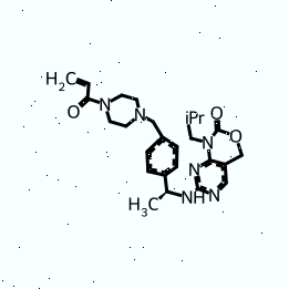 C=CC(=O)N1CCN(Cc2ccc([C@H](C)Nc3ncc4c(n3)N(CC(C)C)C(=O)OC4)cc2)CC1